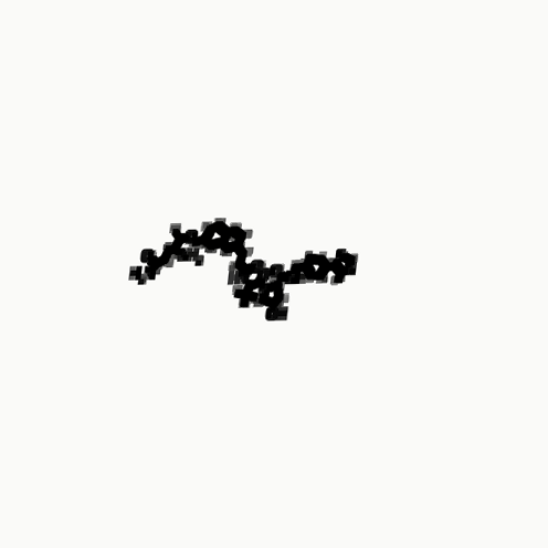 Cc1ncsc1-c1ccc(CNC(=O)[C@@H]2C[C@@H](O)CN2C(=O)[C@@H](NC(=O)CCc2ccc3ccc(CO[C@H](C)[C@@H](N)CCC(N)=O)cc3c2)C(C)(C)C)cc1